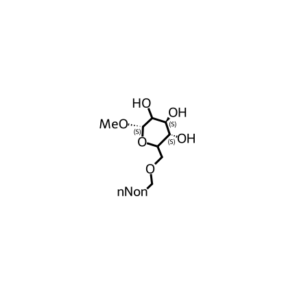 CCCCCCCCCCOCC1O[C@H](OC)C(O)[C@@H](O)[C@@H]1O